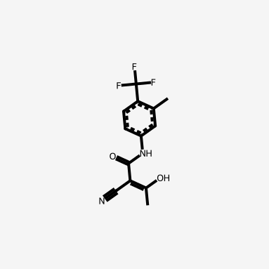 CC(O)=C(C#N)C(=O)Nc1ccc(C(F)(F)F)c(C)c1